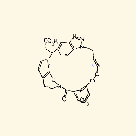 Cc1c2cccc1C(=O)N1CCc3ccc(cc3C1)C(CC(=O)O)c1ccc3c(c1)nnn3C/C=C/CO2